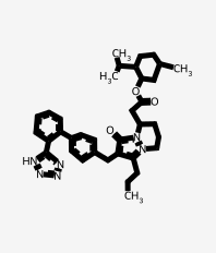 CCCc1c(Cc2ccc(-c3ccccc3-c3nnn[nH]3)cc2)c(=O)n2n1CCCC2CC(=O)OC1CC(C)CCC1C(C)C